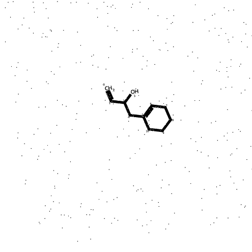 C=CC(O)CC1=CCCCC1